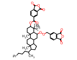 CC(C)CCCC(C)C1CCC2C3CC(OOCc4ccc5c(c4)C(=O)OC5=O)C4C(C)(C)C(OC(=O)c5ccc6c(c5)C(=O)OC6=O)CCC4(C)C3CCC12C